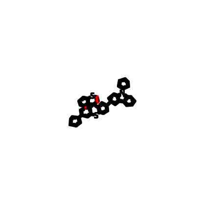 c1ccc(-c2ccc3c(c2)Sc2ccc(-c4ccc5c(c4)c4ccccc4n5-c4ccccc4)cc2C32c3ccccc3Sc3ccccc32)cc1